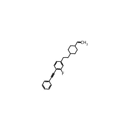 C=CC1CCC(CCc2ccc(C#Cc3ccccc3)c(F)c2)CC1